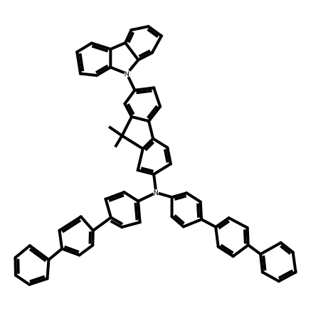 CC1(C)c2cc(N(c3ccc(-c4ccc(-c5ccccc5)cc4)cc3)c3ccc(-c4ccc(-c5ccccc5)cc4)cc3)ccc2-c2ccc(-n3c4ccccc4c4ccccc43)cc21